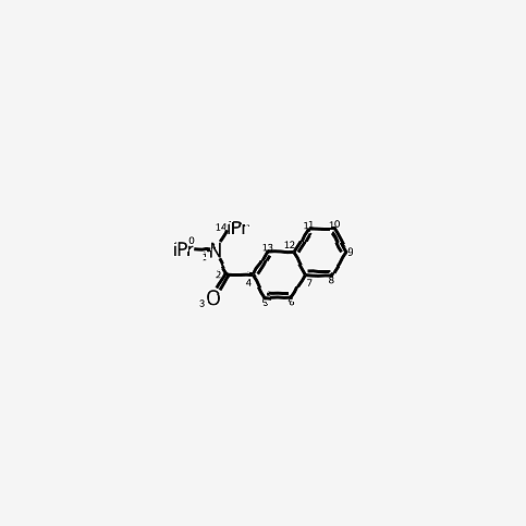 CC(C)N(C(=O)c1ccc2ccccc2c1)C(C)C